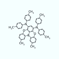 Cc1ccc(N(c2ccc(C)cc2)c2cc(N(c3ccc(C)cc3)c3ccc(C)cc3)c3c4c2Oc2ccc(C)cc2B4c2cc(C)ccc2O3)cc1